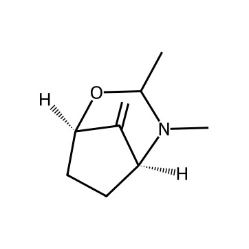 C=C1[C@H]2CC[C@@H]1N(C)C(C)O2